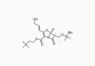 C[C@@H](O[Si](C)(C)C(C)(C)C)[C@@]1(C)C(=O)N2C(C(=O)OCC[Si](C)(C)C)=C(/C=C/CO)S[C@@H]21